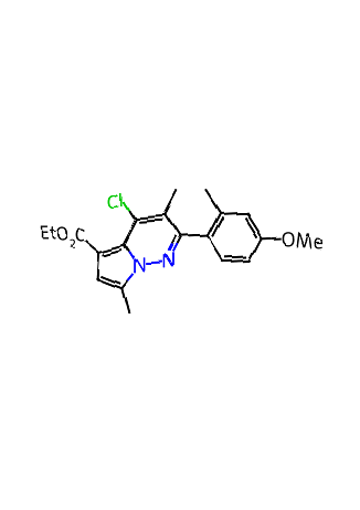 CCOC(=O)c1cc(C)n2nc(-c3ccc(OC)cc3C)c(C)c(Cl)c12